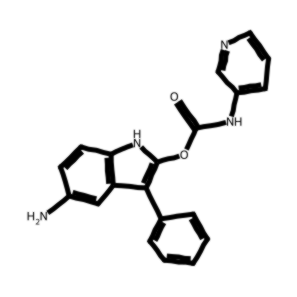 Nc1ccc2[nH]c(OC(=O)Nc3cccnc3)c(-c3ccccc3)c2c1